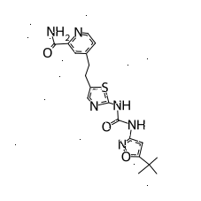 CC(C)(C)c1cc(NC(=O)Nc2ncc(CCc3ccnc(C(N)=O)c3)s2)no1